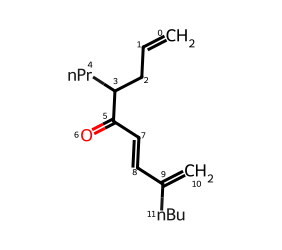 C=CCC(CCC)C(=O)/C=C/C(=C)CCCC